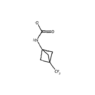 [O]C(=O)NC12CC(C(F)(F)F)(C1)C2